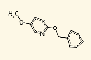 COc1c[c]c(OCc2ccccc2)nc1